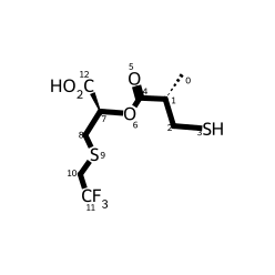 C[C@H](CS)C(=O)O[C@@H](CSCC(F)(F)F)C(=O)O